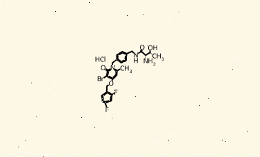 Cc1cc(OCc2ccc(F)cc2F)c(Br)c(=O)n1Cc1ccc(CNC(=O)[C@@H](N)[C@@H](C)O)cc1.Cl